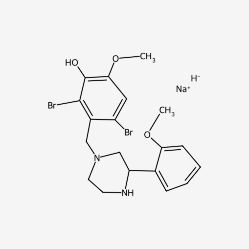 COc1ccccc1C1CN(Cc2c(Br)cc(OC)c(O)c2Br)CCN1.[H-].[Na+]